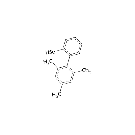 Cc1cc(C)c(-c2ccccc2[SeH])c(C)c1